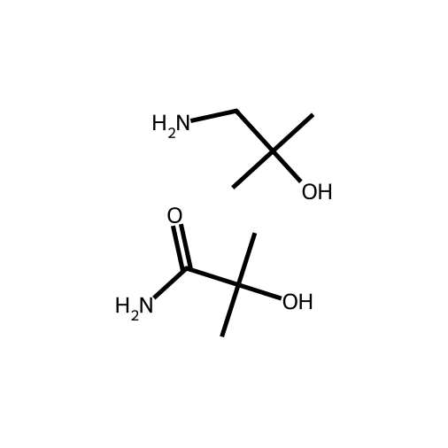 CC(C)(O)C(N)=O.CC(C)(O)CN